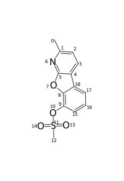 Cc1ccc2c(n1)oc1c(OS(C)(=O)=O)cccc12